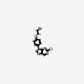 Clc1ncc2nnn(-c3ccc(OCCBr)cc3)c2n1